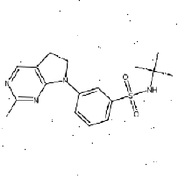 Cc1ncc2c(n1)N(c1cccc(S(=O)(=O)NC(C)(C)C)c1)CC2